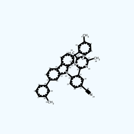 Cc1cccc(-c2ccc3c4ccc(-c5cccc(C)c5)cc4n(-c4ccc(C#N)cc4-c4nc(C)nc(C)n4)c3c2)c1